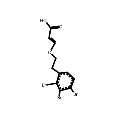 O=C(O)C=COCCc1ccc(Br)c(Br)c1Br